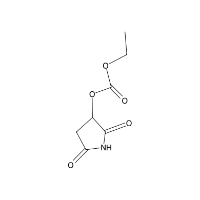 CCOC(=O)OC1CC(=O)NC1=O